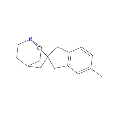 Cc1ccc2c(c1)CC1(C2)CC2CCN(CC2)C1